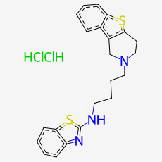 Cl.Cl.c1ccc2sc(NCCCCN3CCc4sc5ccccc5c4C3)nc2c1